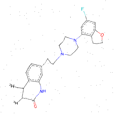 [2H]C1C(=O)Nc2cc(CCN3CCN(c4cc(F)cc5c4CCO5)CC3)ccc2C1[2H]